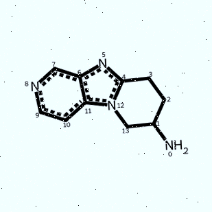 NC1CCc2nc3cnccc3n2C1